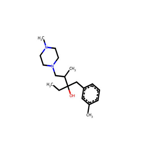 CCC(O)(Cc1cccc(C)c1)C(C)CN1CCN(C)CC1